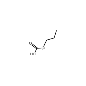 CCC[Si]C(=O)O